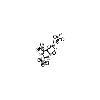 CS(=O)(=O)OC[C@H]1COc2cc(S(=O)(=O)Cl)cc([N+](=O)[O-])c2O1